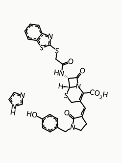 O=C(CSc1nc2ccccc2s1)N[C@@H]1C(=O)N2C(C(=O)O)=C(C=C3CCN(Cc4ccc(O)cc4)C3=O)CS[C@H]12.c1c[nH]cn1